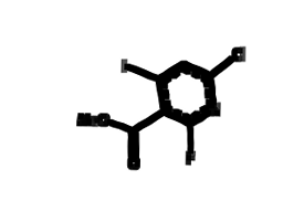 COC(=O)c1c(I)cc(Cl)nc1F